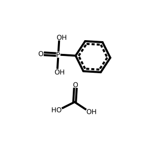 O=C(O)O.O=P(O)(O)c1ccccc1